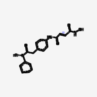 CCCN(C(=O)Cc1ccc(NC(=O)/C=C/C(=O)NO)cc1)c1ccccc1